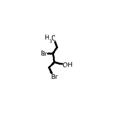 CCC(Br)C(O)CBr